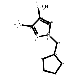 Nc1nn(CC2CCCC2)cc1C(=O)O